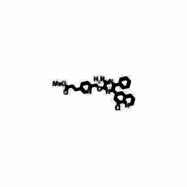 COC(=O)CCc1ccc(COc2nc(-c3cc(Cl)c4ncccc4c3)c(-c3ccccc3)nc2N)nc1